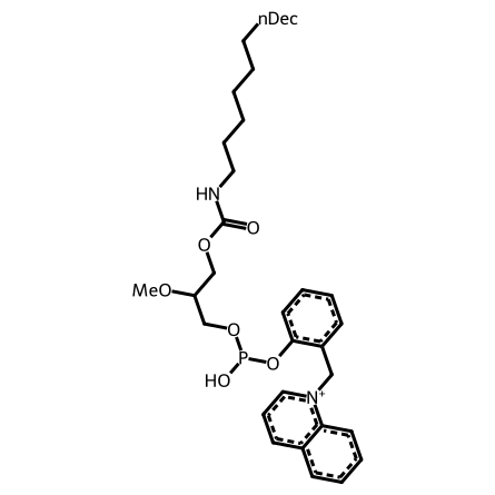 CCCCCCCCCCCCCCCCNC(=O)OCC(COP(O)Oc1ccccc1C[n+]1cccc2ccccc21)OC